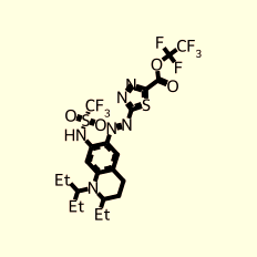 CCC(CC)N1c2cc(NS(=O)(=O)C(F)(F)F)c(N=Nc3nnc(C(=O)OC(F)(F)C(F)(F)F)s3)cc2CCC1CC